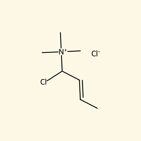 CC=CC(Cl)[N+](C)(C)C.[Cl-]